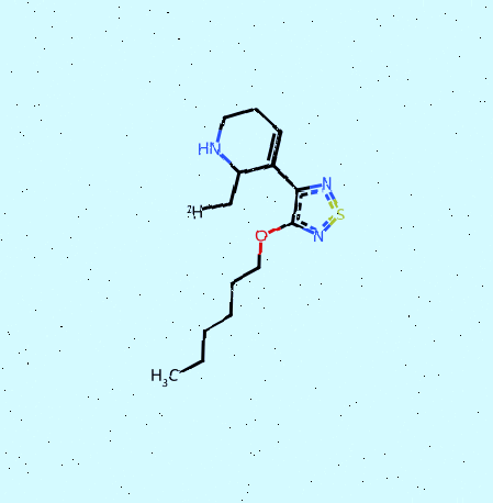 [2H]CC1NCCC=C1c1nsnc1OCCCCCC